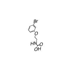 O=C(O)NCCOc1cccc(Br)c1